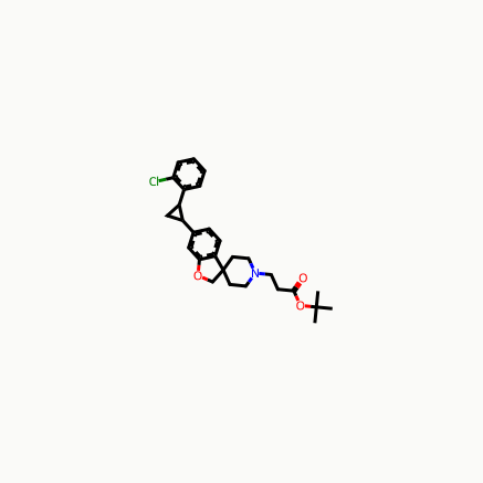 CC(C)(C)OC(=O)CCN1CCC2(CC1)COc1cc(C3CC3c3ccccc3Cl)ccc12